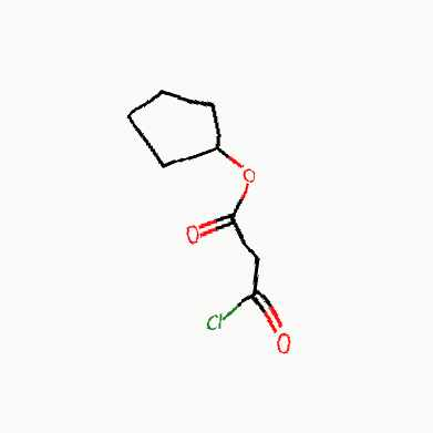 O=C(Cl)CC(=O)OC1CCCC1